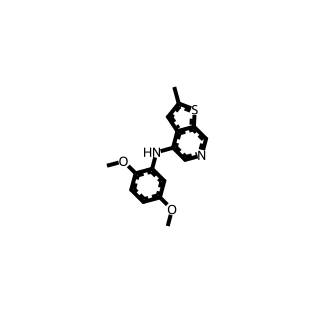 COc1ccc(OC)c(Nc2cncc3sc(C)cc23)c1